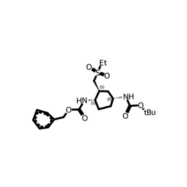 CCS(=O)(=O)C[C@H]1C[C@H](NC(=O)OC(C)(C)C)CC[C@@H]1NC(=O)OCc1ccccc1